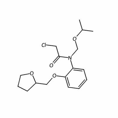 CC(C)OCN(C(=O)CCl)c1ccccc1OCC1CCCO1